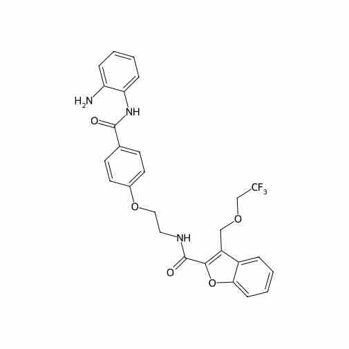 Nc1ccccc1NC(=O)c1ccc(OCCNC(=O)c2oc3ccccc3c2COCC(F)(F)F)cc1